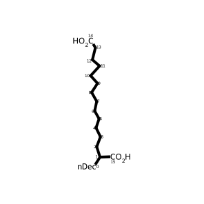 CCCCCCCCCCC(CCCCCCCCCCCCC(=O)O)C(=O)O